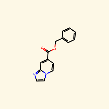 O=C(OCc1ccccc1)c1ccn2ccnc2c1